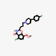 COOc1ccc(F)c2c1OC(CCCN1CC=C(c3ccc(F)cc3)CC1)NC2=O